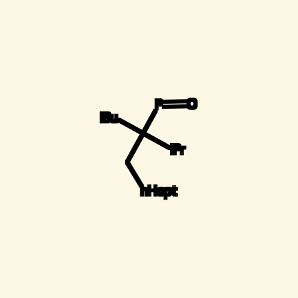 CCCCCCCCC(P=O)(C(C)C)C(C)CC